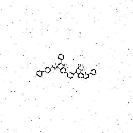 C=C(/N=C(\C=C(/N)c1ccccc1)c1ccc(-c2cccc(C3=CC(C)Nc4c3ccc3ccc(-c5ccccc5)nc43)c2)cc1)C1=CCC(c2ccccc2)C=C1